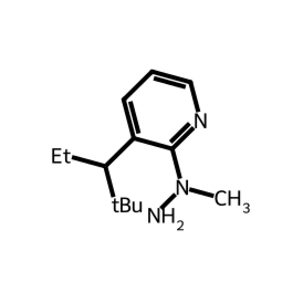 CCC(c1cccnc1N(C)N)C(C)(C)C